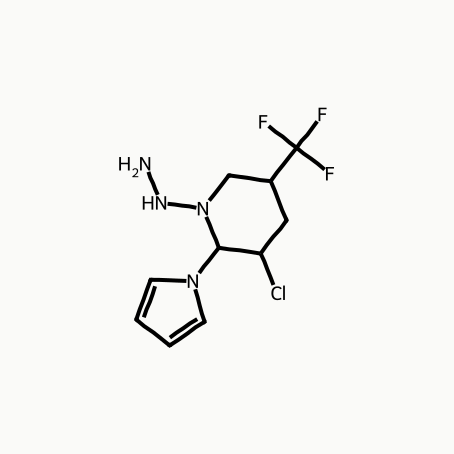 NNN1CC(C(F)(F)F)CC(Cl)C1n1cccc1